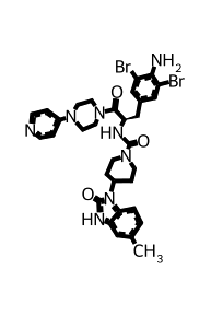 Cc1ccc2c(c1)[nH]c(=O)n2C1CCN(C(=O)N[C@H](Cc2cc(Br)c(N)c(Br)c2)C(=O)N2CCN(c3ccncc3)CC2)CC1